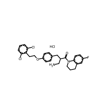 Cl.NCC(Cc1ccc(OCCc2c(Cl)cccc2Cl)cc1)C(=O)N1CCCc2cc(F)ccc21